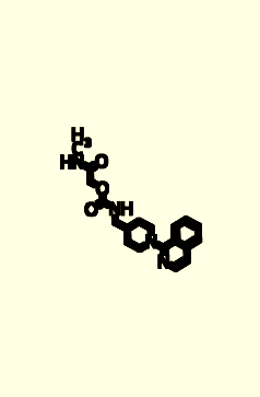 CNC(=O)COC(=O)NCC1CCN(c2nccc3ccccc23)CC1